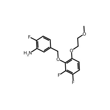 COCCOc1ccc(F)c(F)c1OCc1ccc(F)c(N)c1